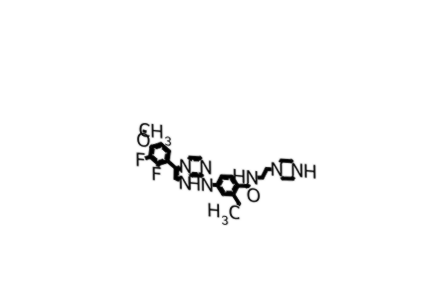 CCc1cc(Nc2nccn3c(-c4ccc(OC)c(F)c4F)cnc23)ccc1C(=O)NCCN1CCNCC1